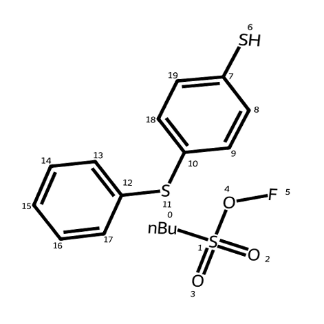 CCCCS(=O)(=O)OF.Sc1ccc(Sc2ccccc2)cc1